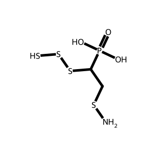 NSCC(SSS)P(=O)(O)O